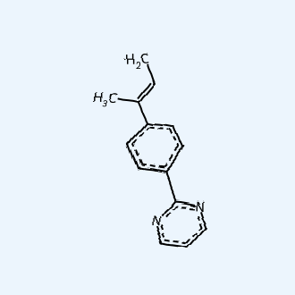 [CH2]/C=C(\C)c1ccc(-c2ncccn2)cc1